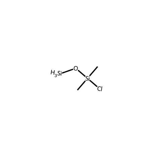 C[Si](C)(Cl)O[SiH3]